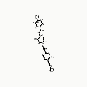 CCC#Cc1ccc(C#Cc2ccc(CC[C@H]3CC[C@H](CC)CC3)cc2)cc1